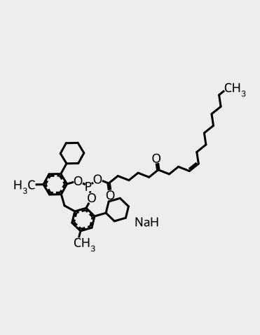 CCCCCCCC/C=C\CCC(=O)CCCCC(=O)OP1Oc2c(cc(C)cc2C2CCCCC2)Cc2cc(C)cc(C3CCCCC3)c2O1.[NaH]